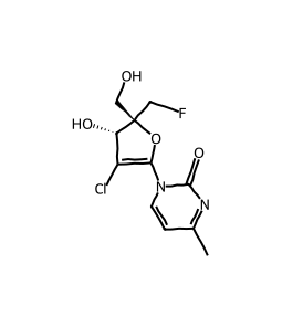 Cc1ccn(C2=C(Cl)[C@H](O)[C@](CO)(CF)O2)c(=O)n1